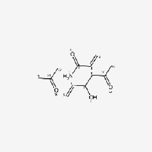 C=CC(N)=O.C=CC(O)CC(C)=O.CC(C)=O